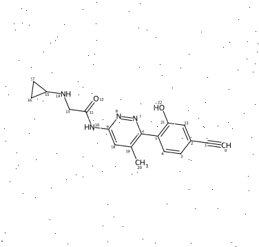 C#Cc1ccc(-c2nnc(NC(=O)CNC3CC3)cc2C)c(O)c1